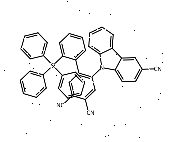 N#Cc1ccc2c(c1)c1ccccc1n2-c1cc(C#N)c(C#N)cc1-c1ccccc1[Si](c1ccccc1)(c1ccccc1)c1ccccc1